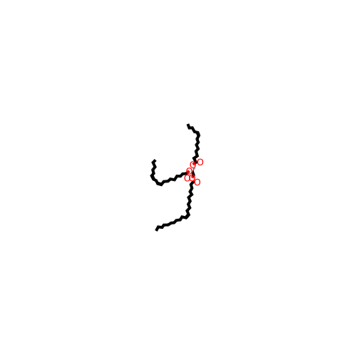 CCCC/C=C\CCCCCCCC(=O)OC[C@H](COC(=O)CCCCCCCCC/C=C\CCCCCCCCCC)OC(=O)CCCCCCC/C=C\C/C=C\CCCCC